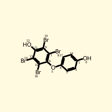 Oc1ccc(Oc2c(Br)c(Br)c(O)c(Br)c2Br)cc1